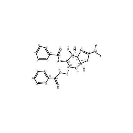 CN(C)C1=N[C@@H]2[C@H](F)[C@H](OC(=O)c3ccccc3)[C@@H](COC(=O)c3ccccc3)O[C@@H]2S1